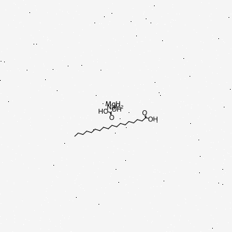 CCCCCCCCCCCCCCCCCC(=O)O.O=C(O)O.[MgH2].[NaH]